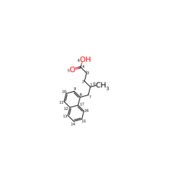 CC(C[CH]C(=O)O)Cc1cccc2ccccc12